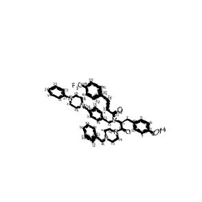 O=C([C@H](Cc1ccc(O)cc1)N(Cc1ccc(N2CCN(c3ccccc3)CC2)cc1)C(=O)/C=C/c1ccc(C(F)(F)F)cc1)N1CCN(Cc2ccccc2)CC1